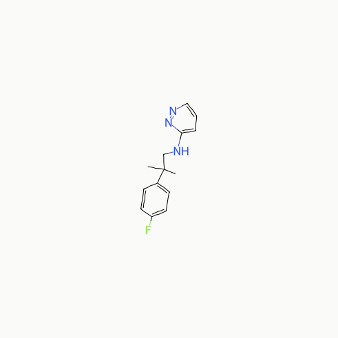 CC(C)(CNc1cccnn1)c1ccc(F)cc1